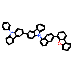 c1ccc(-n2c3ccccc3c3cc(-c4ccc5c(c4)c4ccccc4n5-c4cccc5cc(-c6cccc7c6oc6ccccc67)ccc45)ccc32)cc1